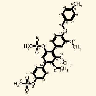 COc1cc(-c2c(OS(C)(=O)=O)cc(-c3ccc(OS(C)(=O)=O)cc3)c(OC)c2OC)ccc1OCc1ccc(C)cc1